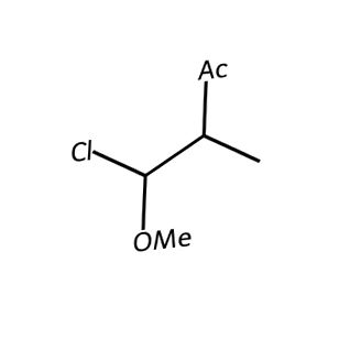 COC(Cl)C(C)C(C)=O